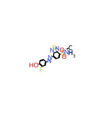 CCNS(=O)(=O)c1ccc(/N=N/c2ccc(O)c(F)c2)c2nsnc12